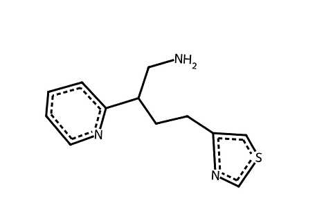 NCC(CCc1cscn1)c1ccccn1